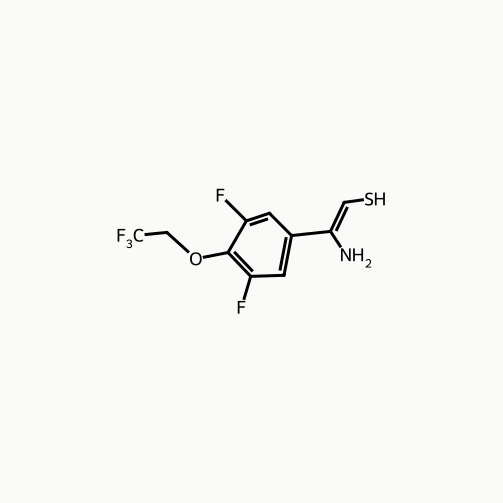 N/C(=C\S)c1cc(F)c(OCC(F)(F)F)c(F)c1